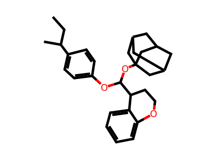 CCC(C)c1ccc(OC(OC23CC4CC(CC(C4)C2)C3)C2CCOc3ccccc32)cc1